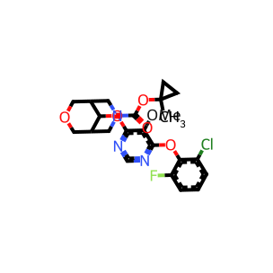 COc1c(Oc2c(F)cccc2Cl)ncnc1OC1C2COCC1CN(C(=O)OC1(C)CC1)C2